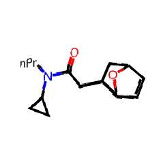 CCCN(C(=O)CC1CC2C=CC1O2)C1CC1